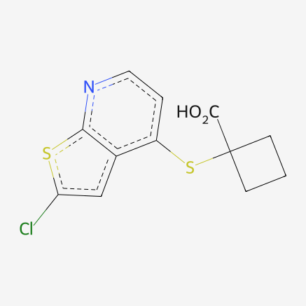 O=C(O)C1(Sc2ccnc3sc(Cl)cc23)CCC1